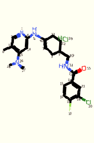 Cc1cnc(NC2CCC(CNC(=O)c3ccc(F)c(Cl)c3)CC2)cc1N(C)C.Cl